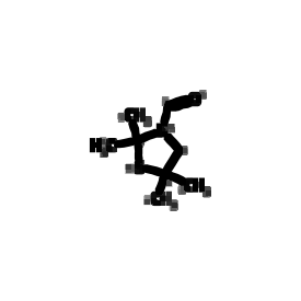 CC1(C)CN(C=O)C(C)(C)S1